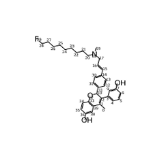 CC1=C(c2cccc(O)c2)C(c2ccc(/C=C/CN(C)CCCCCCCCCF)cc2)Oc2ccc(O)cc21